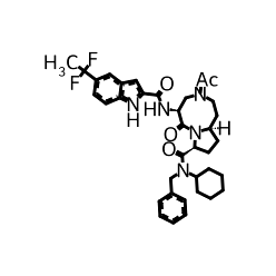 CC(=O)N1CC[C@H]2CC[C@@H](C(=O)N(Cc3ccccc3)C3CCCCC3)N2C(=O)[C@@H](NC(=O)c2cc3cc(C(C)(F)F)ccc3[nH]2)C1